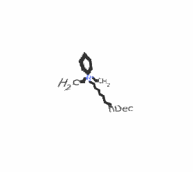 C=CC[N+](CC=C)(CCCCCCCCCCCCCCCCCC)C1CCCCC1